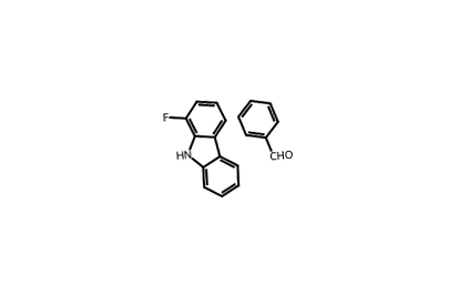 Fc1cccc2c1[nH]c1ccccc12.O=Cc1ccccc1